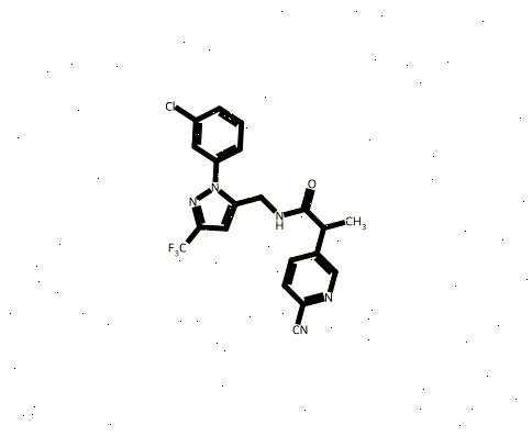 CC(C(=O)NCc1cc(C(F)(F)F)nn1-c1cccc(Cl)c1)c1ccc(C#N)nc1